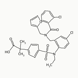 CCN(c1ccc(Cl)cc1CN(Cc1ccco1)C(=O)c1ccccc1Cl)S(=O)(=O)c1ccc(C(C)(C)C(=O)O)cc1